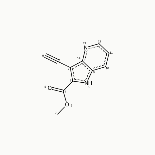 C#Cc1c(C(=O)OC)[nH]c2cccnc12